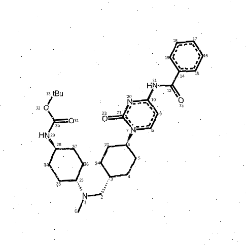 CN(C[C@H]1CC[C@H](n2ccc(NC(=O)c3ccccc3)nc2=O)CC1)[C@H]1CC[C@H](NC(=O)OC(C)(C)C)CC1